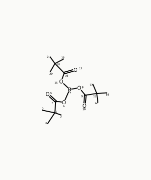 CC(C)(C)C(=O)OB(OC(=O)C(C)(C)C)OC(=O)C(C)(C)C